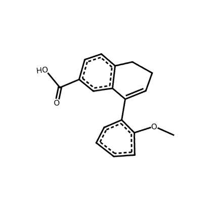 COc1ccccc1C1=CCCc2ccc(C(=O)O)cc21